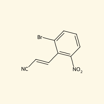 N#C/C=C/c1c(Br)cccc1[N+](=O)[O-]